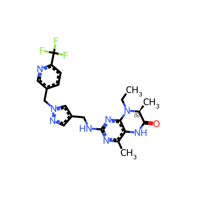 CCN1c2nc(NCc3cnn(Cc4ccc(C(F)(F)F)nc4)c3)nc(C)c2NC(=O)[C@@H]1C